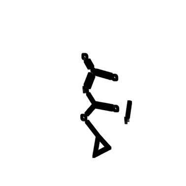 CF.O=C(N=S(=O)=O)OC1CC1